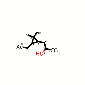 CC(=O)CC1C(CC(O)C(Cl)(Cl)Cl)C1(C)C